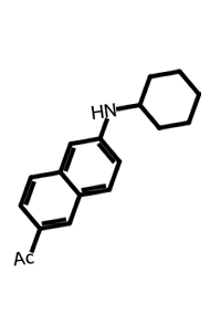 CC(=O)c1ccc2cc(NC3CCCCC3)ccc2c1